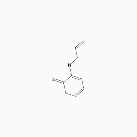 C=CC[N]C1=CC=CCC1=S